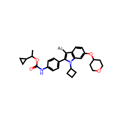 CC(=O)c1c(-c2ccc(NC(=O)OC(C)C3CC3)cc2)n(C2CCC2)c2cc(OC3CCOCC3)ccc12